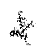 C[C@H](CSSC(C)(C)C)NC(=O)[C@H](Cc1c[nH]c2ccccc12)NC(=O)[C@H](CCCCN(C)C)NC(=O)CNC(=O)[C@@H](N)CSSC(C)(C)C